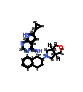 c1ccc2c(c1)CC[C@H](N1C[C@@H]3COC[C@H]3C1)[C@H]2Nc1ncnc2[nH]c(C3CC3)cc12